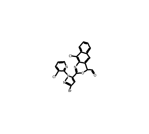 O=CC1OC(c2cc(Br)nn2-c2ncccc2Cl)=Nc2c1cc1ccccc1c2Cl